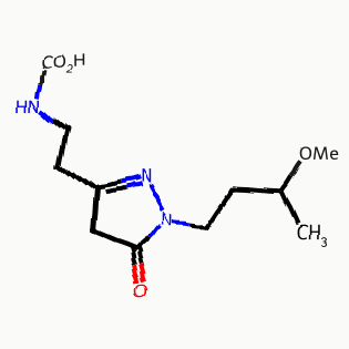 COC(C)CCN1N=C(CCNC(=O)O)CC1=O